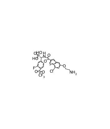 NCCOc1cc(Cl)c2sc(S(=O)(=O)NC(c3ccc(S(=O)(=O)C(F)(F)F)c(F)c3)P(=O)(O)O)cc2c1